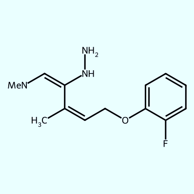 CN/C=C(NN)\C(C)=C/COc1ccccc1F